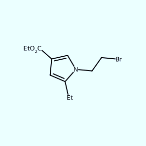 CCOC(=O)c1cc(CC)n(CCBr)c1